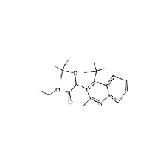 CCOC(=O)C(OC(C)(C)C)c1c(C)nc2ccccc2c1C(C)(C)C